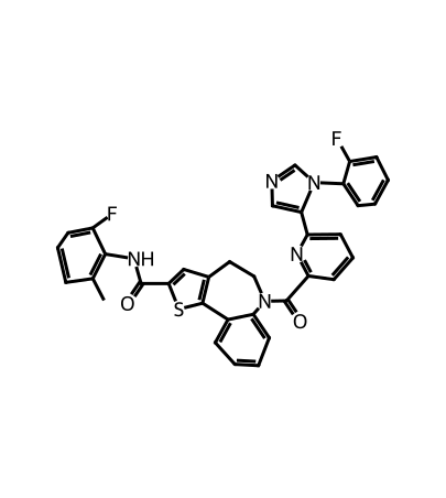 Cc1cccc(F)c1NC(=O)c1cc2c(s1)-c1ccccc1N(C(=O)c1cccc(-c3cncn3-c3ccccc3F)n1)CC2